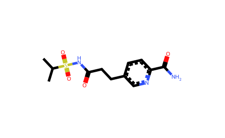 CC(C)S(=O)(=O)NC(=O)CCc1ccc(C(N)=O)nc1